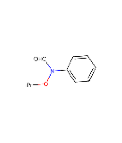 CC(C)ON(C=O)c1[c]cccc1